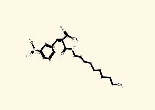 CCCCCCCCCCOC(=O)C(=Cc1cccc([N+](=O)[O-])c1)C(C)=O